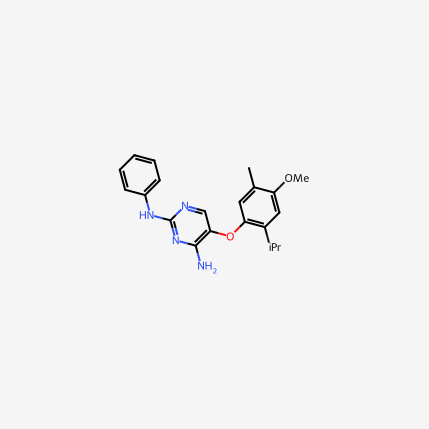 COc1cc(C(C)C)c(Oc2cnc(Nc3ccccc3)nc2N)cc1C